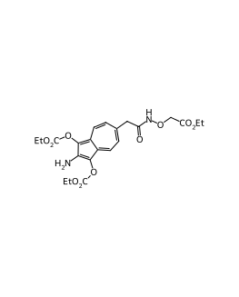 CCOC(=O)CONC(=O)Cc1ccc2c(OC(=O)OCC)c(N)c(OC(=O)OCC)c-2cc1